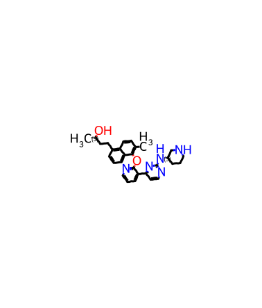 Cc1ccc2c(CC[C@H](C)O)cccc2c1Oc1ncccc1-c1ccnc(N[C@H]2CCCNC2)n1